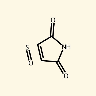 O=C1C=CC(=O)N1.O=S